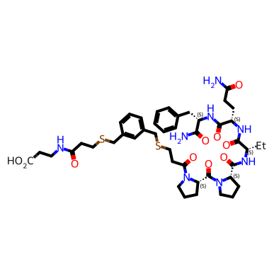 CC[C@H](NC(=O)[C@@H]1CCCN1C(=O)[C@@H]1CCCN1C(=O)CCSCc1cccc(CSCCC(=O)NCCC(=O)O)c1)C(=O)N[C@@H](CCC(N)=O)C(=O)N[C@@H](Cc1ccccc1)C(N)=O